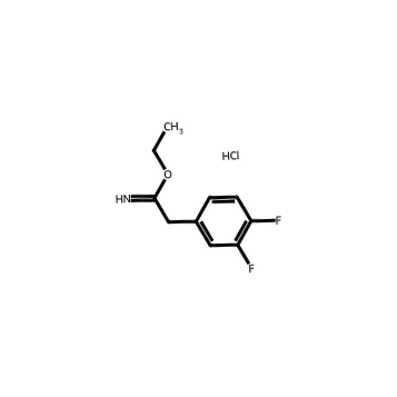 CCOC(=N)Cc1ccc(F)c(F)c1.Cl